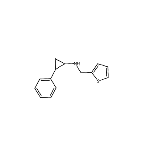 c1ccc(C2CC2NCc2cccs2)cc1